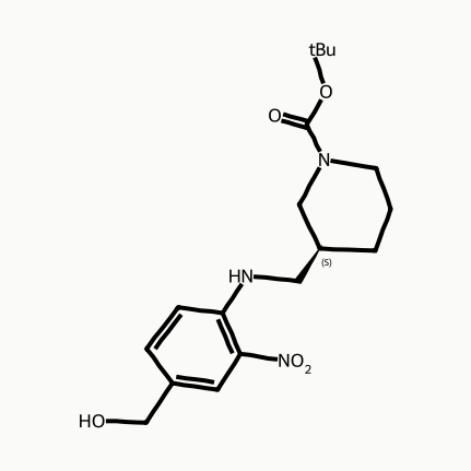 CC(C)(C)OC(=O)N1CCC[C@@H](CNc2ccc(CO)cc2[N+](=O)[O-])C1